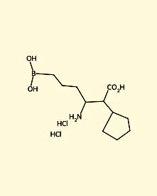 Cl.Cl.NC(CCCB(O)O)C(C(=O)O)C1CCCC1